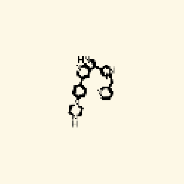 c1cncc(Cn2cc(-c3c[nH]c4ncc(-c5ccc(N6CCNCC6)cc5)cc34)cn2)c1